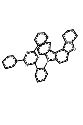 c1ccc(-c2nc(-c3ccccc3)nc(-c3ccccc3-n3c4ccccc4c4c5c(ccc43)oc3ccccc35)n2)cc1